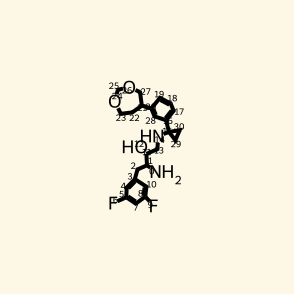 NC(Cc1cc(F)cc(F)c1)C(O)CNC1(c2cccc(C3CCOCOC3)c2)CC1